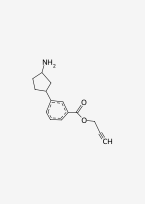 C#CCOC(=O)c1cccc(C2CCC(N)C2)c1